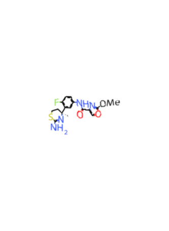 COc1nc(C(=O)Nc2ccc(F)c([C@]3(C)CCSC(N)=N3)c2)co1